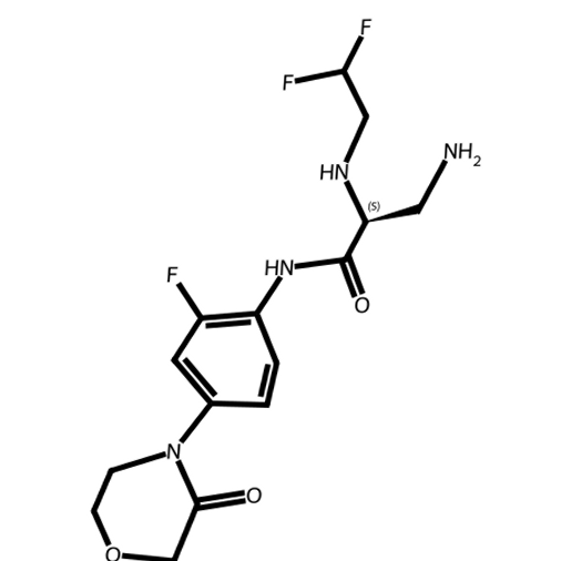 NC[C@H](NCC(F)F)C(=O)Nc1ccc(N2CCOCC2=O)cc1F